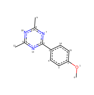 COc1ccc(-c2nc(C)nc(C)n2)cc1